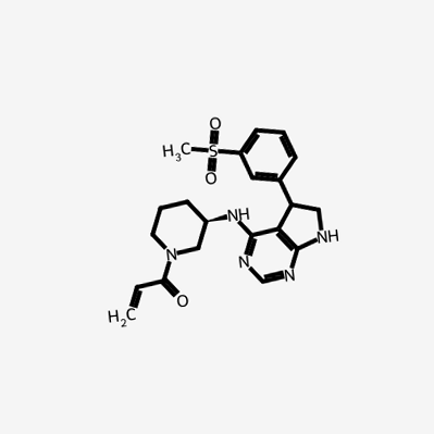 C=CC(=O)N1CCC[C@@H](Nc2ncnc3c2C(c2cccc(S(C)(=O)=O)c2)CN3)C1